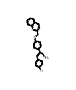 NCC(=Cc1ccc(Cl)cc1)c1ccc(OCc2ccc3ccccc3n2)cc1